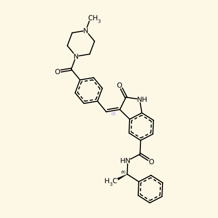 C[C@@H](NC(=O)c1ccc2c(c1)/C(=C/c1ccc(C(=O)N3CCN(C)CC3)cc1)C(=O)N2)c1ccccc1